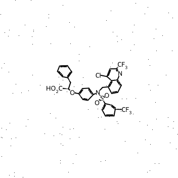 O=C(O)[C@@H](Cc1ccccc1)Oc1ccc(N(Cc2cccc3nc(C(F)(F)F)cc(Cl)c23)S(=O)(=O)c2cccc(C(F)(F)F)c2)cc1